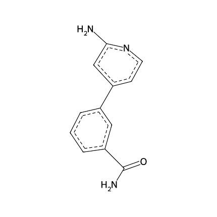 NC(=O)c1cccc(-c2ccnc(N)c2)c1